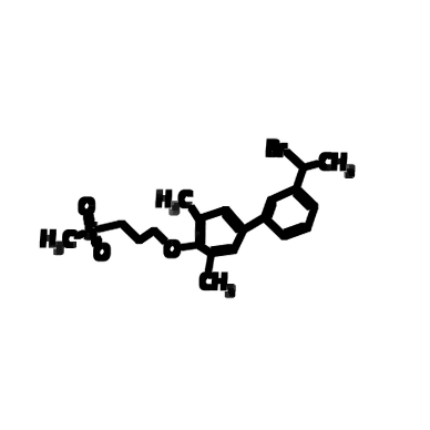 Cc1cc(-c2cccc(C(C)Br)c2)cc(C)c1OCCCS(C)(=O)=O